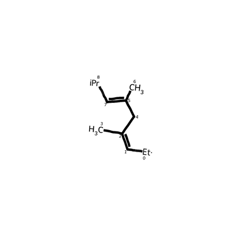 C[CH]C=C(C)CC(C)=CC(C)C